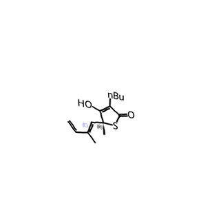 C=C/C(C)=C/[C@@]1(C)SC(=O)C(CCCC)=C1O